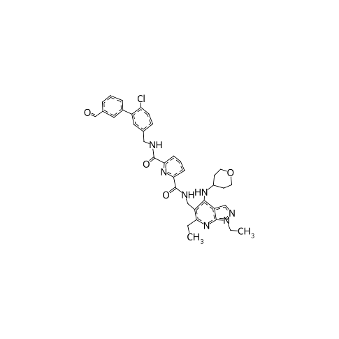 CCc1nc2c(cnn2CC)c(NC2CCOCC2)c1CNC(=O)c1cccc(C(=O)NCc2ccc(Cl)c(-c3cccc(C=O)c3)c2)n1